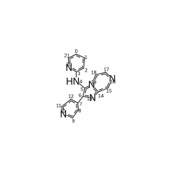 c1ccc(Nc2c(-c3ccncc3)nc3cnccn23)nc1